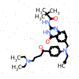 C#CCN(Cc1ccc2nc(NC(=O)C(C)(C)C)[nH]c(=O)c2c1)c1ccc(C(=O)CCCN(CC)CC)cc1